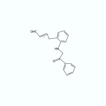 O=C/C=C/Cc1ccccc1NCC(=O)c1ccccc1